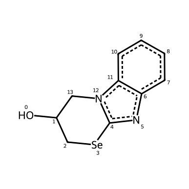 OC1C[Se]c2nc3ccccc3n2C1